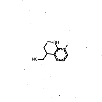 N#CCC1CCNc2c(F)cccc21